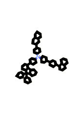 c1ccc(C2(c3ccccc3)c3ccccc3-c3c(-c4ccc(N(c5ccc(-c6ccc(-c7cccc8ccccc78)cc6)cc5)c5ccc(-c6ccc7ccccc7c6)cc5)cc4)cccc32)cc1